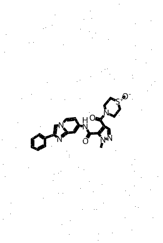 Cn1ncc(C(=O)N2CC[S+]([O-])CC2)c1C(=O)Nc1ccn2cc(-c3ccccc3)nc2c1